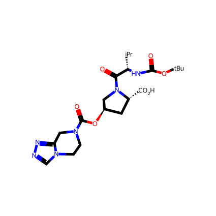 CC(C)[C@H](NC(=O)OC(C)(C)C)C(=O)N1C[C@H](OC(=O)N2CCn3cnnc3C2)C[C@H]1C(=O)O